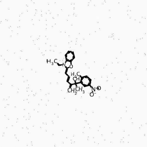 C=C(/C=C/C=C1\Oc2ccccc2N1CC)C(C)(C)c1cc([N+](=O)[O-])ccc1C